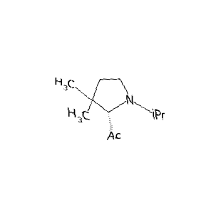 CC(=O)[C@H]1N(C(C)C)CCC1(C)C